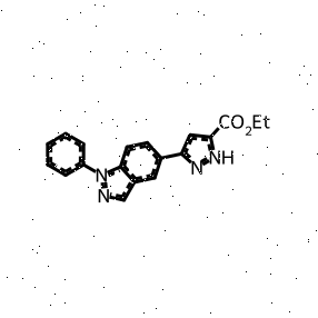 CCOC(=O)c1cc(-c2ccc3c(cnn3-c3ccccc3)c2)n[nH]1